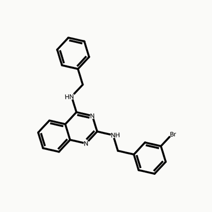 Brc1cccc(CNc2nc(NCc3ccccc3)c3ccccc3n2)c1